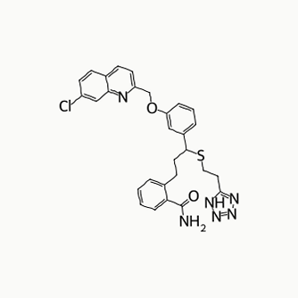 NC(=O)c1ccccc1CCC(SCCc1nnn[nH]1)c1cccc(OCc2ccc3ccc(Cl)cc3n2)c1